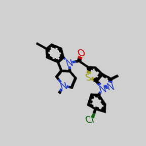 Cc1ccc2c(c1)C1CN(C)CCC1N2C(=O)c1cc2c(C)nn(-c3ccc(Cl)cc3)c2s1